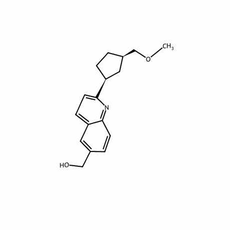 COC[C@@H]1CC[C@H](c2ccc3cc(CO)ccc3n2)C1